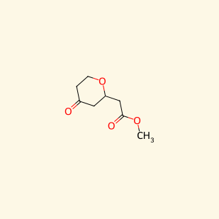 COC(=O)CC1CC(=O)CCO1